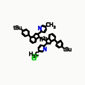 Cc1ccc(C2=Cc3c(-c4ccc(C(C)(C)C)cc4)cccc3[CH]2[Ti+2][CH]2C(c3ccc(C)cn3)=Cc3c(-c4ccc(C(C)(C)C)cc4)cccc32)nc1.[Cl-].[Cl-]